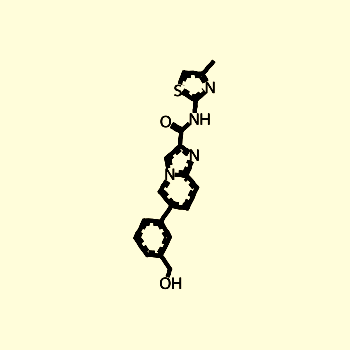 Cc1csc(NC(=O)c2cn3cc(-c4cccc(CO)c4)ccc3n2)n1